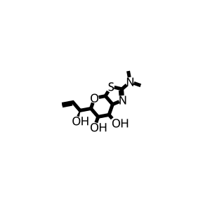 C=C[C@H](O)C1OC2SC(N(C)C)=NC2C(O)C1O